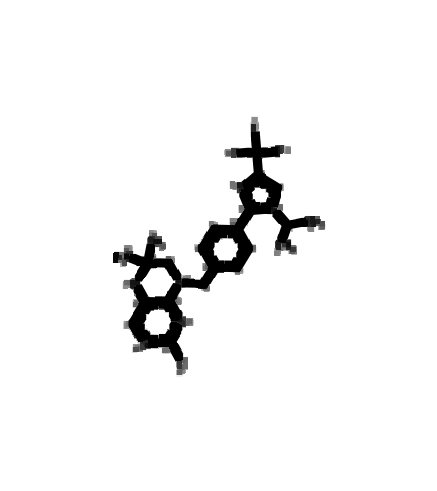 CC(C)n1cc(C(F)(F)F)nc1-c1ccc(CN2CC(C)(C)Oc3cnc(Cl)nc32)cc1